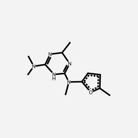 Cc1ccc(N(C)C2=NC(C)N=C(N(C)C)N2)o1